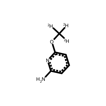 [2H]C([2H])([2H])Oc1cccc(N)n1